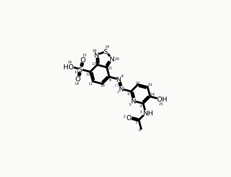 CC(=O)Nc1nc(/N=N/c2ccc(S(=O)(=O)O)c3nsnc23)ccc1O